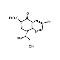 CCOC(=O)c1cn(C(CO)C(C)(C)C)c2ncc(Br)cc2c1=O